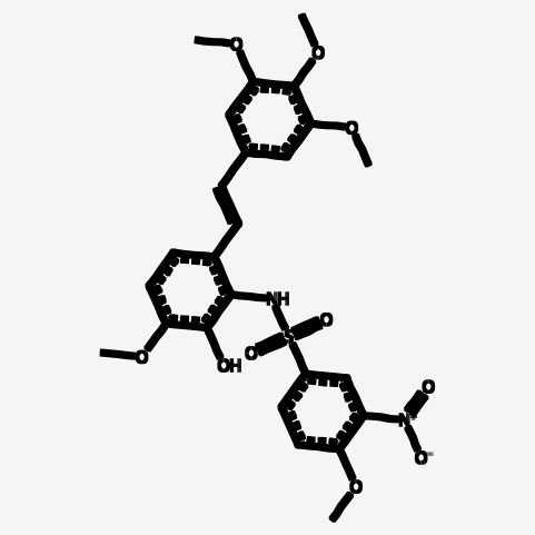 COc1ccc(S(=O)(=O)Nc2c(C=Cc3cc(OC)c(OC)c(OC)c3)ccc(OC)c2O)cc1[N+](=O)[O-]